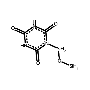 O=c1[nH]c(=O)n([SiH2]O[SiH3])c(=O)[nH]1